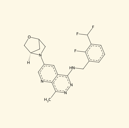 Cc1nnc(NCc2cccc(C(F)F)c2F)c2cc(N3CC4C[C@@H]3CO4)cnc12